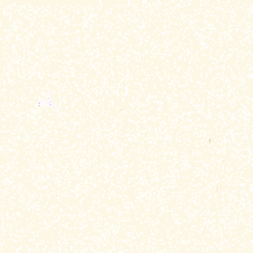 CC(C)(CC1CCCC(NC2CCCCC2)C1)C(=O)OC(C(F)(F)F)C(F)(F)S(=O)(=O)O